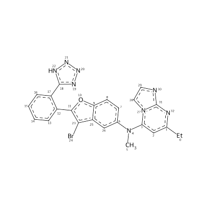 CCc1cc(N(C)c2ccc3oc(-c4ccccc4-c4nnn[nH]4)c(Br)c3c2)n2ccnc2n1